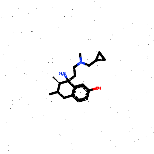 CC1Cc2ccc(O)cc2[C@@](N)(CCN(C)CC2CC2)[C@H]1C